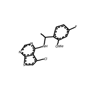 COc1cc(F)ccc1C(C)Nc1ncnc2scc(Cl)c12